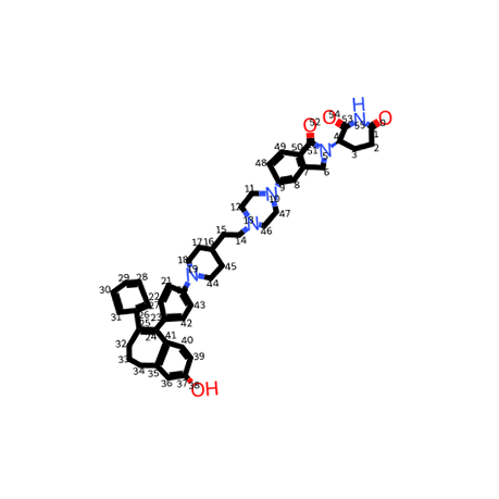 O=C1CC[C@@H](N2Cc3cc(N4CCN(CCC5CCN(c6ccc(C7=C(c8ccccc8)CCCc8cc(O)ccc87)cc6)CC5)CC4)ccc3C2=O)C(=O)N1